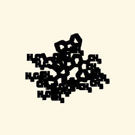 CCCCC1=Cc2c(ccc(C(C)C)c2-c2cc([Si](C)(C)C)cc([Si](C)(C)C)c2)[CH]1[Zr]([Cl])([Cl])([c]1cccc2c1[SiH2]c1ccccc1-2)[CH]1C(CCCC)=Cc2c1ccc(C(C)C)c2-c1cc([Si](C)(C)C)cc([Si](C)(C)C)c1